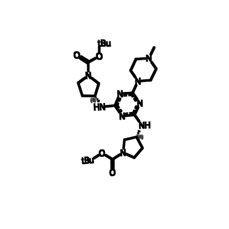 CN1CCN(c2nc(N[C@@H]3CCN(C(=O)OC(C)(C)C)C3)nc(N[C@@H]3CCN(C(=O)OC(C)(C)C)C3)n2)CC1